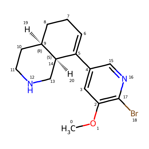 COc1cc(C2=CCC[C@@H]3CCNC[C@H]23)cnc1Br